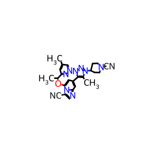 Cc1cnnc(C(C)Oc2cc(-c3nnn(C4CCN(C#N)CC4)c3C)cc3ncc(C#N)n23)c1